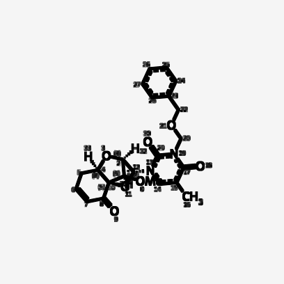 CO[C@H]1[C@H]2O[C@@H]3CC=CC(=O)[C@]31O[C@H]2n1cc(C)c(=O)n(COCc2ccccc2)c1=O